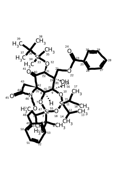 CC(C)[Si]1(C(C)C)O[C@@H]2[C@H](O[Si](C(C)C)(C(C)C)O1)[C@](O)(COC(=O)c1ccccc1)[C@H](O[Si](C)(C)C(C)(C)C)C(=O)[C@]21CC(=O)N1OCc1ccccc1